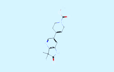 CC(C)(C)OC(=O)N1CC=C(c2cnc3c(c2)NC(=O)C3(C)C)CC1